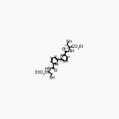 CCOC(=O)C(CS)NC(=O)c1cccc(-c2cccc(C(=O)NC(CS)C(=O)OCC)n2)n1